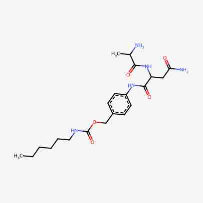 CCCCCCNC(=O)OCc1ccc(NC(=O)C(CC(N)=O)NC(=O)C(C)N)cc1